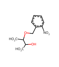 O=C(O)C(O)C(OCc1ccccc1[N+](=O)[O-])C(=O)O